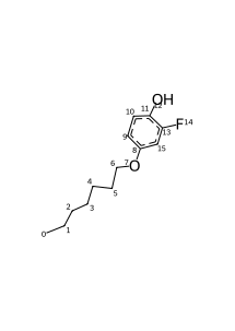 CCCCCCCOc1ccc(O)c(F)c1